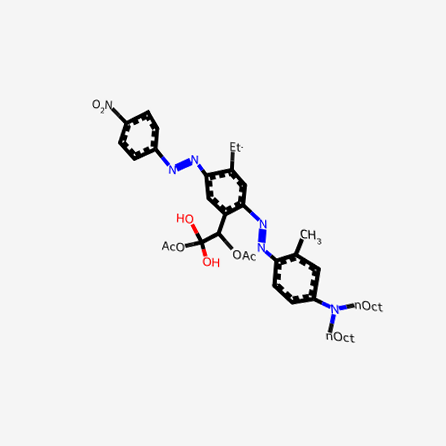 [CH2][CH]c1cc(N=Nc2ccc(N(CCCCCCCC)CCCCCCCC)cc2C)c(C(OC(C)=O)C(O)(O)OC(C)=O)cc1N=Nc1ccc([N+](=O)[O-])cc1